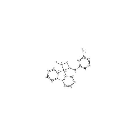 CN1CC(Oc2cccc(C(F)(F)F)c2)C1(c1ccccc1)c1ccccc1